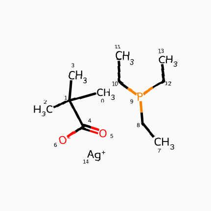 CC(C)(C)C(=O)[O-].CCP(CC)CC.[Ag+]